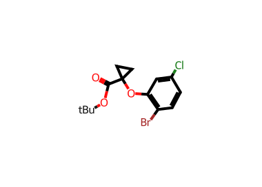 CC(C)(C)OC(=O)C1(Oc2cc(Cl)ccc2Br)CC1